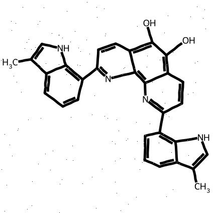 Cc1c[nH]c2c(-c3ccc4c(O)c(O)c5ccc(-c6cccc7c(C)c[nH]c67)nc5c4n3)cccc12